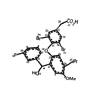 COc1cc(C(O)c2cccc(F)c2)c(Oc2c(Br)cc(CC(=O)O)cc2Br)cc1C(C)C